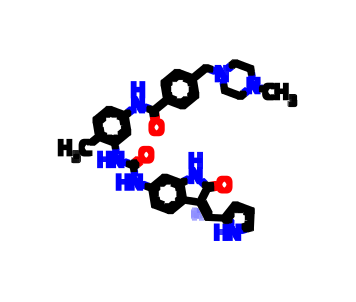 Cc1ccc(NC(=O)c2ccc(CN3CCN(C)CC3)cc2)cc1NC(=O)Nc1ccc2c(c1)NC(=O)/C2=C\c1ccc[nH]1